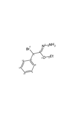 CCO/C(=N\N)C(Br)c1ccccc1